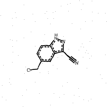 N#Cc1n[nH]c2ccc(CCl)cc12